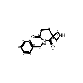 O=C1CCC2(CNC2)C(=O)N1Cc1ccccc1